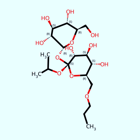 CCCOC[C@H]1O[C@](OC(C)C)(O[C@H]2O[C@H](CO)[C@@H](O)[C@H](O)[C@H]2O)[C@H](O)[C@@H](O)[C@@H]1O